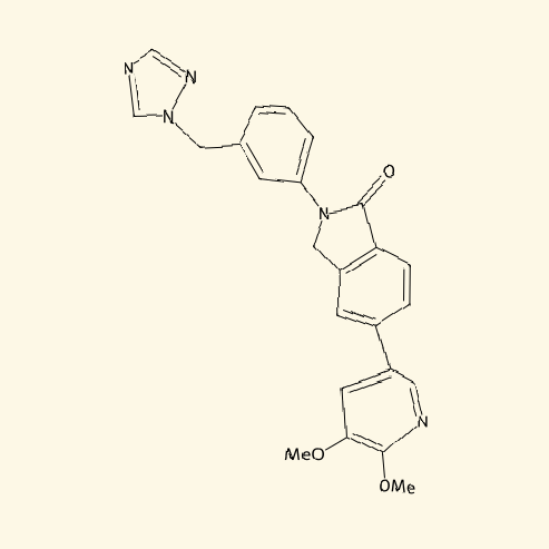 COc1cc(-c2ccc3c(c2)CN(c2cccc(Cn4cncn4)c2)C3=O)cnc1OC